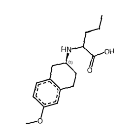 CCCC(N[C@H]1CCc2cc(OC)ccc2C1)C(=O)O